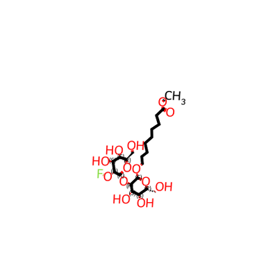 COC(=O)CCCCCCCCO[C@H]1O[C@H](CO)[C@@H](O)[C@H](O)[C@H]1O[C@H]1O[C@H](CO)[C@@H](O)[C@H](O)[C@H]1OF